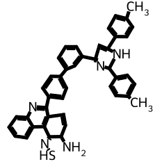 Cc1ccc(C2=CC(c3cccc(-c4ccc(-c5nc6ccccc6c6c5C=CC(N)/C6=N\S)cc4)c3)=NC(c3ccc(C)cc3)N2)cc1